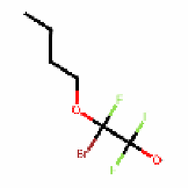 CCCCOC(F)(Br)C([O])(F)F